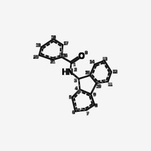 O=C(NC1c2ccccc2-c2ccccc21)c1ccccc1